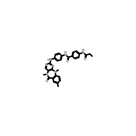 CCC(=O)Nc1ccc(C(=O)Nc2ccc(Nc3ncc4c(n3)N(C)c3ccc(C)cc3C(=O)N4C)cc2)cc1